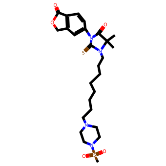 CC1(C)C(=O)N(c2ccc3c(c2)COC3=O)C(=S)N1CCCCCCCCN1CCN(S(C)(=O)=O)CC1